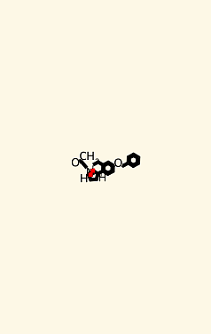 CC(=O)N1C[C@H]2CC[C@H]3c4ccc(OCc5ccccc5)cc4CC[C@]23C1